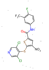 O=C(Nc1ccc(F)c(C(F)(F)F)c1)c1cc([N+](=O)[O-])c(Sc2c(Cl)cncc2Cl)s1